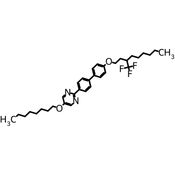 CCCCCCCCOc1cnc(-c2ccc(-c3ccc(OCCC(CCCCCC)C(F)(F)F)cc3)cc2)nc1